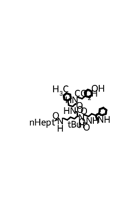 CCCCCCCC(=O)NCCCCC(NC(=O)C(Cc1c[nH]c2ccccc12)NC(=O)OC(C)(C)C)C(=O)NC(Cc1ccc(C)cc1)C(=O)NC(Cc1ccc(O)cc1)C(=O)O